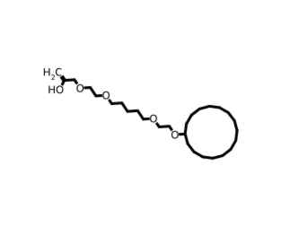 C=C(O)COCCOCCCCCOCCOC1CCCCCCCCCCCCCCC1